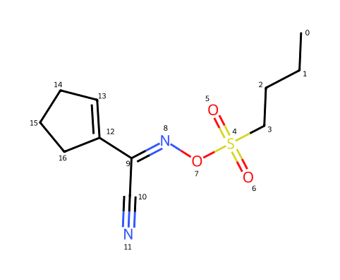 CCCCS(=O)(=O)ON=C(C#N)C1=CCCC1